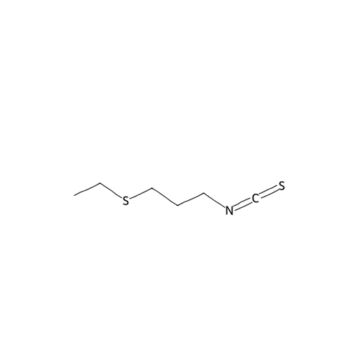 CCSCCCN=C=S